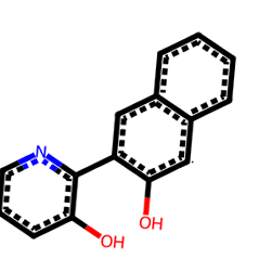 Oc1[c]c2ccccc2cc1-c1ncccc1O